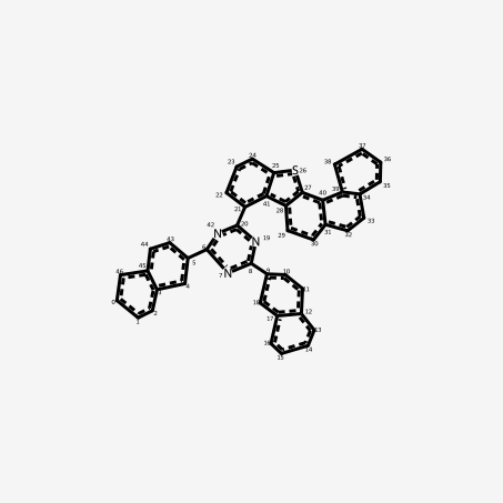 c1ccc2cc(-c3nc(-c4ccc5ccccc5c4)nc(-c4cccc5sc6c(ccc7ccc8ccccc8c76)c45)n3)ccc2c1